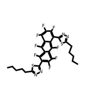 CCCCCc1nnc(-c2c(F)c(F)c3c(F)c4c(-c5nnc(CCCCC)s5)c(F)c(F)c(F)c4c(F)c3c2F)s1